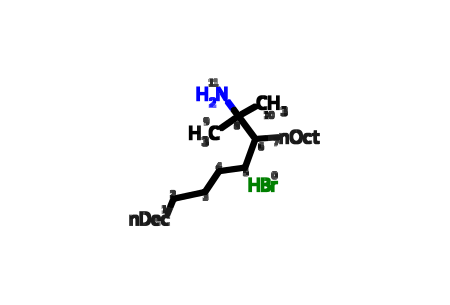 Br.CCCCCCCCCCCCCCC(CCCCCCCC)C(C)(C)N